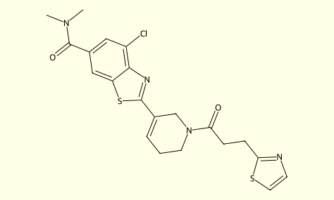 CN(C)C(=O)c1cc(Cl)c2nc(C3=CCCN(C(=O)CCc4nccs4)C3)sc2c1